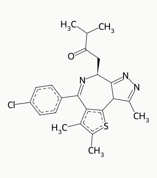 CC1=NN=C2C1c1sc(C)c(C)c1C(c1ccc(Cl)cc1)=N[C@H]2CC(=O)C(C)C